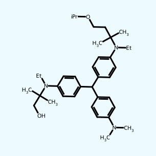 CCN(c1ccc(C(c2ccc(N(C)C)cc2)c2ccc(N(CC)C(C)(C)CCOC(C)C)cc2)cc1)C(C)(C)CO